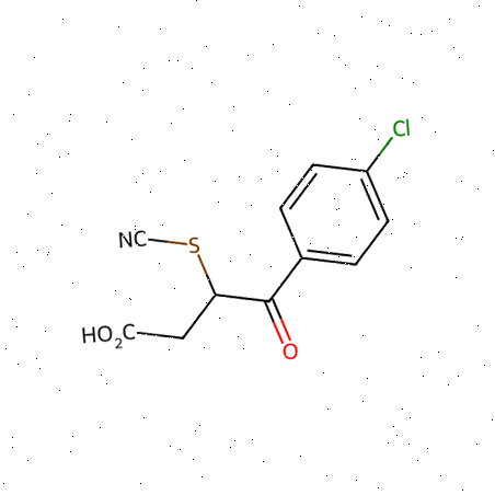 N#CSC(CC(=O)O)C(=O)c1ccc(Cl)cc1